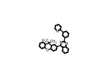 CC1(C)c2ccccc2Oc2ccc(-c3nc(-c4cccc(-c5ccccn5)c4)nc4ccccc34)cc21